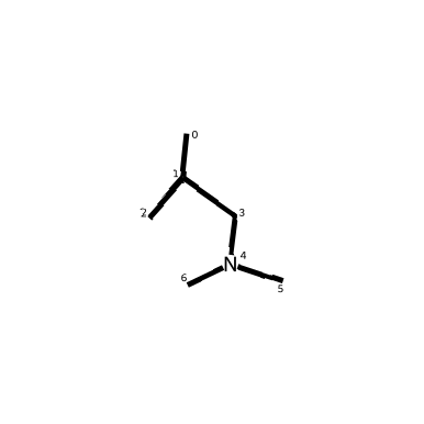 C[C](C)CN(C)C